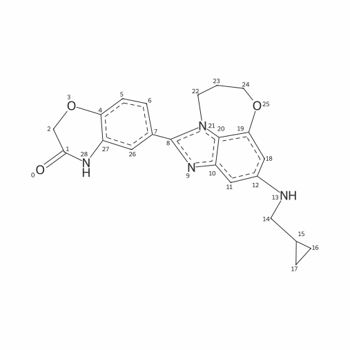 O=C1COc2ccc(-c3nc4cc(NCC5CC5)cc5c4n3CCCO5)cc2N1